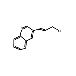 OCC=Cc1cnc2ccccc2c1